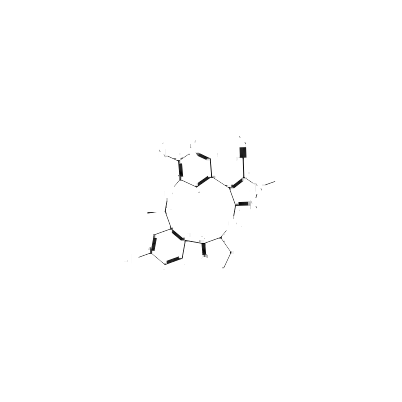 CCC1Oc2nn(C)c(C#N)c2-c2cnc(N)c(c2)O[C@H](C)c2cc(F)ccc2C1=O